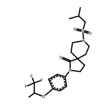 CC(C)CS(=O)(=O)N1CCC2(CCN(c3ccc(OC(C)C(F)(F)F)cc3)C2=O)CC1